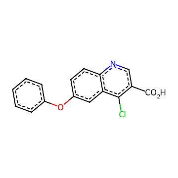 O=C(O)c1cnc2ccc(Oc3ccccc3)cc2c1Cl